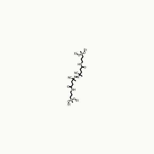 CCO[Si](C)(CCCNC(=O)CCC(C)(C#N)N=NC(C)(C#N)CCC(=O)NCCC[Si](C)(OCC)OCC)OCC